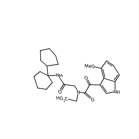 COc1cccc2[nH]cc(C(=O)C(=O)N(CC(=O)O)CC(=O)NC3(C4CCCCC4)CCCCC3)c12